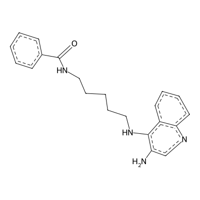 Nc1cnc2ccccc2c1NCCCCCNC(=O)c1ccccc1